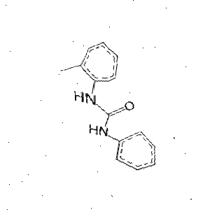 Cc1ccccc1NC(=O)Nc1ccccc1